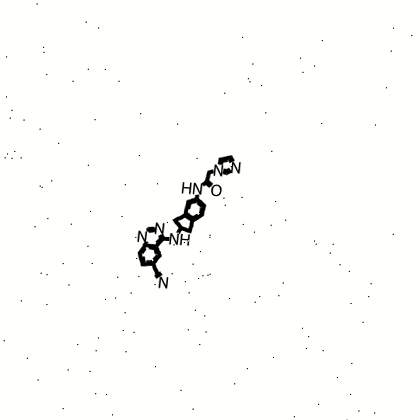 N#Cc1ccc2ncnc(NC3Cc4ccc(NC(=O)Cn5ccnc5)cc4C3)c2c1